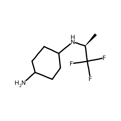 C[C@H](NC1CCC(N)CC1)C(F)(F)F